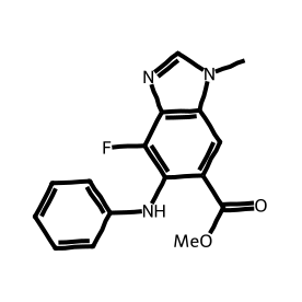 COC(=O)c1cc2c(ncn2C)c(F)c1Nc1ccccc1